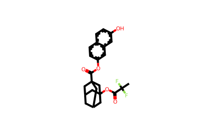 CC(F)(F)C(=O)OC12CC3CC(C1)CC(C(=O)Oc1ccc4ccc(O)cc4c1)(C3)C2